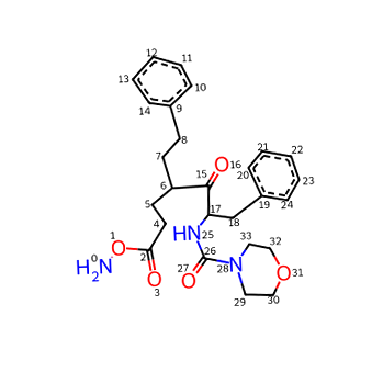 NOC(=O)CCC(CCc1ccccc1)C(=O)C(Cc1ccccc1)NC(=O)N1CCOCC1